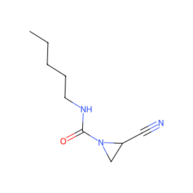 CCCCCNC(=O)N1CC1C#N